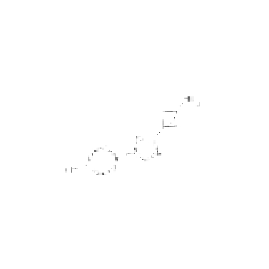 NC12CC(c3ncc(-c4ccc(Cl)cc4)s3)(C1)C2